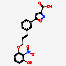 O=C(O)c1cc(-c2cccc(/C=C/COc3cccc(O)c3[N+](=O)[O-])c2)on1